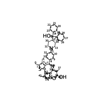 Cc1sc2c(c1C)C(c1ccc(N3CCC(C(O)(c4ccccc4)c4ccccc4)CC3)cc1)=N[C@@H](C(C)C(=O)O)c1nnc(C)n1-2